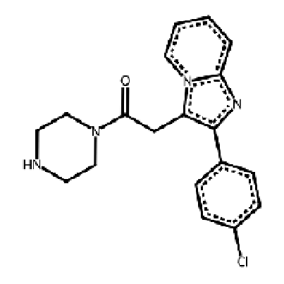 O=C(Cc1c(-c2ccc(Cl)cc2)nc2ccccn12)N1CCNCC1